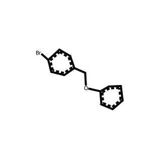 Brc1ccc(COc2[c]cccc2)cc1